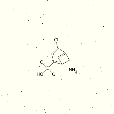 N.O=S(=O)(O)c1cc(Cl)c2cc1C2